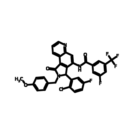 COc1ccc(CN2C(=O)c3c(c(NC(=O)c4cc(F)cc(C(F)(F)F)c4)cc4ncccc34)C2c2cc(F)ccc2Cl)cc1